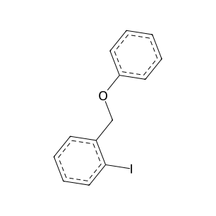 Ic1ccccc1COc1ccccc1